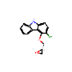 Brc1ccc2[nH]c3ccccc3c2c1OC[C@@H]1CO1